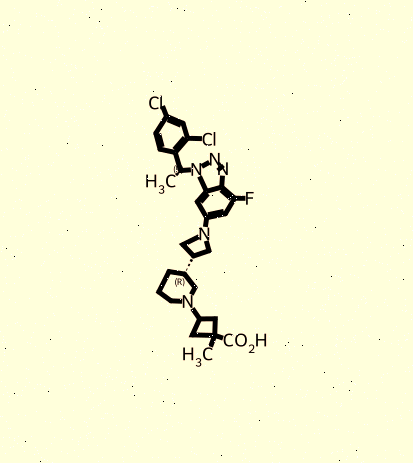 C[C@H](c1ccc(Cl)cc1Cl)n1nnc2c(F)cc(N3CC([C@H]4CCCN(C5CC(C)(C(=O)O)C5)C4)C3)cc21